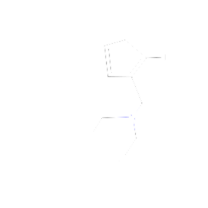 CCN(CC)CC1=[C]([Ti])CC=C1.Cl.Cl.Cl